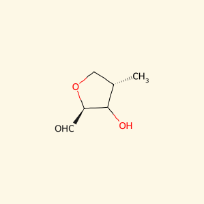 C[C@H]1CO[C@H](C=O)C1O